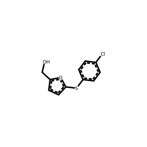 OCc1ccc(Sc2ccc(Cl)cc2)o1